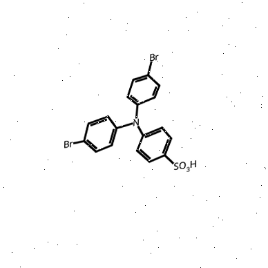 O=S(=O)(O)c1ccc(N(c2ccc(Br)cc2)c2ccc(Br)cc2)cc1